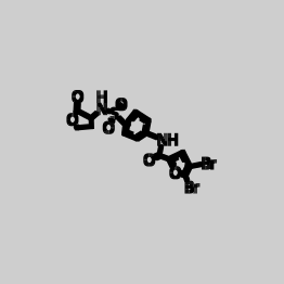 O=C(Nc1ccc(S(=O)(=O)NC2CCOC2=O)cc1)c1cc(Br)c(Br)o1